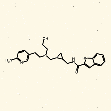 Nc1ccc(CCN(CCO)CC2CC2CNC(=O)c2cc3ccccc3[nH]2)cn1